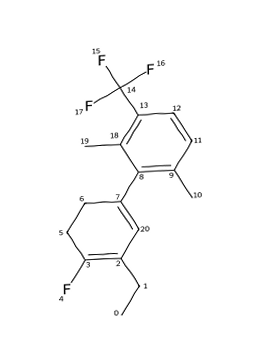 CCC1=C(F)CCC(c2c(C)ccc(C(F)(F)F)c2C)=C1